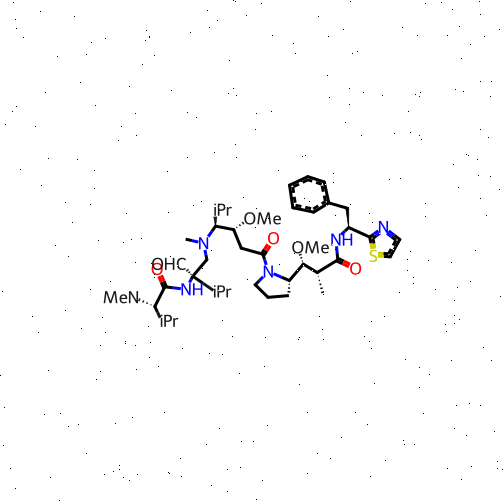 CN[C@H](C(=O)N[C@@](C=O)(CN(C)[C@@H](C(C)C)[C@@H](CC(=O)N1CCC[C@H]1[C@H](OC)[C@@H](C)C(=O)N[C@@H](Cc1ccccc1)c1nccs1)OC)C(C)C)C(C)C